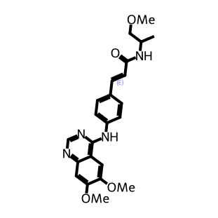 COCC(C)NC(=O)/C=C/c1ccc(Nc2ncnc3cc(OC)c(OC)cc23)cc1